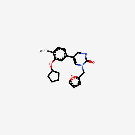 COc1ccc(C2=CN(Cc3ccco3)C(=O)NC2)cc1OC1CCCC1